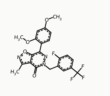 COc1ccc(-c2nn(Cc3cc(C(F)(F)F)ccc3F)c(=O)c3c(C)noc23)c(OC)c1